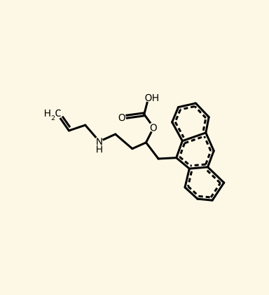 C=CCNCCC(Cc1c2ccccc2cc2ccccc12)OC(=O)O